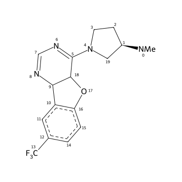 CN[C@@H]1CCN(C2=NC=NC3c4cc(C(F)(F)F)ccc4OC23)C1